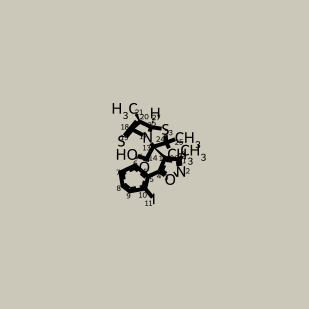 Cc1noc(-c2ccccc2I)c1[C@@]1(C(=O)O)N2C(=S)[C@@H](C)[C@H]2SC1(C)C